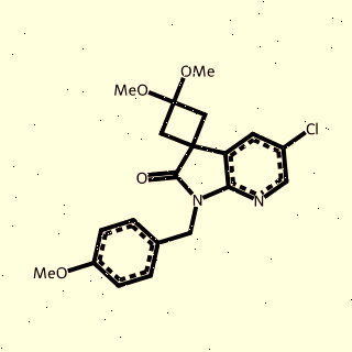 COc1ccc(CN2C(=O)C3(CC(OC)(OC)C3)c3cc(Cl)cnc32)cc1